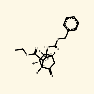 CCOC(=O)[C@H]1[C@H](NC(=O)OCc2ccccc2)[C@@H]2CC[C@H]1C(=O)C2